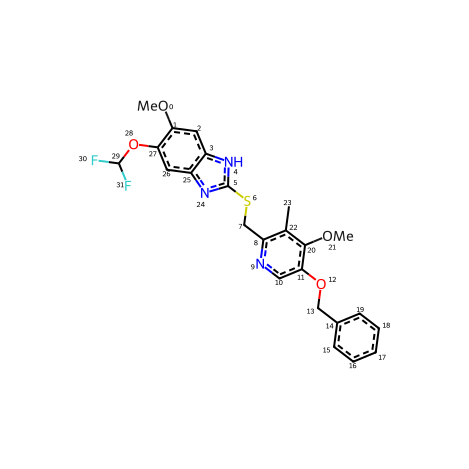 COc1cc2[nH]c(SCc3ncc(OCc4ccccc4)c(OC)c3C)nc2cc1OC(F)F